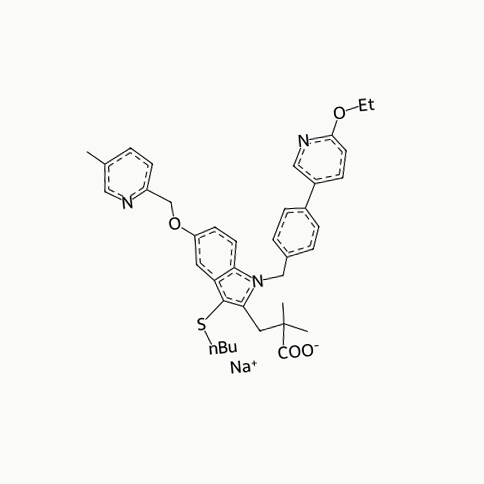 CCCCSc1c(CC(C)(C)C(=O)[O-])n(Cc2ccc(-c3ccc(OCC)nc3)cc2)c2ccc(OCc3ccc(C)cn3)cc12.[Na+]